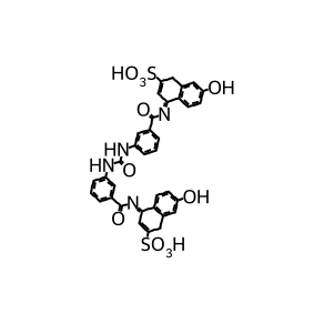 O=C(Nc1cccc(C(=O)N=C2C=C(S(=O)(=O)O)Cc3cc(O)ccc32)c1)Nc1cccc(C(=O)N=C2C=C(S(=O)(=O)O)Cc3cc(O)ccc32)c1